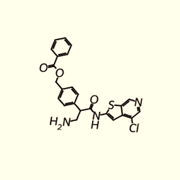 NCC(C(=O)Nc1cc2c(Cl)cncc2s1)c1ccc(COC(=O)c2ccccc2)cc1